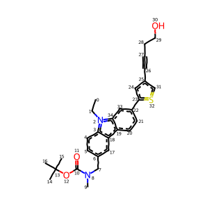 CCn1c2ccc(CN(C)C(=O)OC(C)(C)C)cc2c2ccc(-c3cc(C#CCCO)cs3)cc21